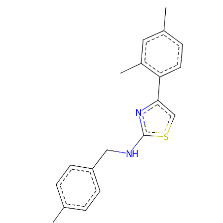 COc1ccc(CNc2nc(-c3ccc(C)cc3C)cs2)cc1